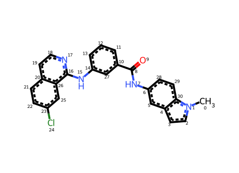 Cn1ccc2cc(NC(=O)c3cccc(Nc4nccc5ccc(Cl)cc45)c3)ccc21